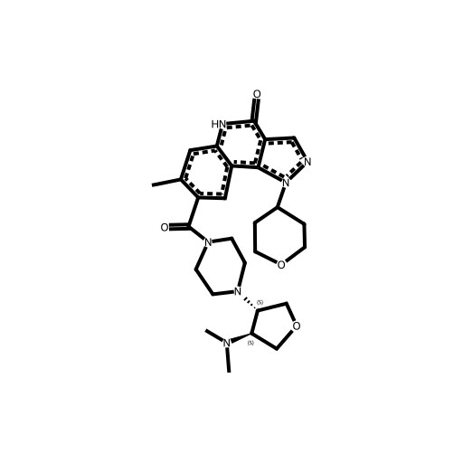 Cc1cc2[nH]c(=O)c3cnn(C4CCOCC4)c3c2cc1C(=O)N1CCN([C@@H]2COC[C@H]2N(C)C)CC1